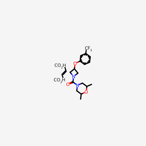 CC1CN(C(=O)N2CC(Oc3cccc(C(F)(F)F)c3)C2)CC(C)O1.O=C(O)/C=C/C(=O)O